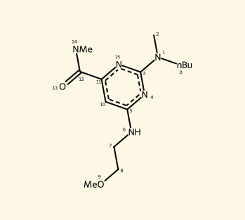 CCCCN(C)c1nc(NCCOC)cc(C(=O)NC)n1